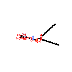 CCCCCCCCCCCCCCCCCC(=O)OC[C@H](COP(=O)(O)OCCNC(=O)OCCOCC(=O)NC1C(O)OC(CO)C(O)C1O)OC(=O)CCCCCCCCCCCCCCCCC